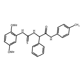 COc1ccc(OC)c(NC(=S)NC(C(=O)Nc2ccc(C)cc2)c2ccccc2)c1